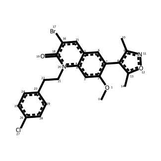 COc1cc2c(cc1-c1c(C)noc1C)cc(Br)c(=O)n2CCc1ccc(Cl)cc1